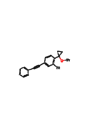 CCc1cc(C#Cc2cc[c]cc2)ccc1C1(OC(C)C)CC1